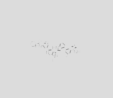 CS(=O)(=O)C(N)c1cc(F)cc(-c2cccc3[nH]c(-c4n[nH]c5cnc(-c6cncc(NC(=O)C7CCCCC7)c6)cc45)cc23)c1